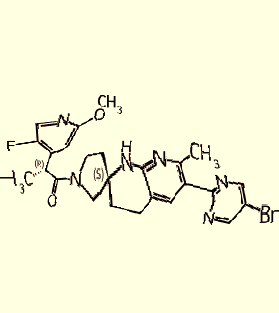 COc1cc([C@@H](C)C(=O)N2CC[C@@]3(CCc4cc(-c5ncc(Br)cn5)c(C)nc4N3)C2)c(F)cn1